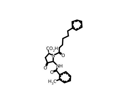 Cc1ccccc1C(=O)NC1C(=O)C[C@@H](C(=O)O)N1C(=O)CCCCCc1ccccc1